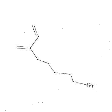 C=CC(=C)CCCCCC(C)C